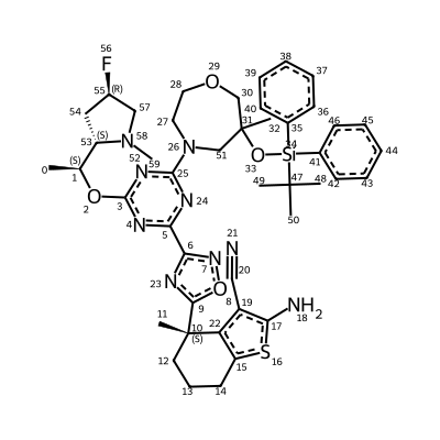 C[C@H](Oc1nc(-c2noc([C@@]3(C)CCCc4sc(N)c(C#N)c43)n2)nc(N2CCOCC(C)(O[Si](c3ccccc3)(c3ccccc3)C(C)(C)C)C2)n1)[C@@H]1C[C@@H](F)CN1C